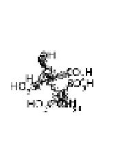 CC1=NN(CCCS(=O)(=O)O)\C(=C/C=C/C=C/C2=[N+](CCCCCC(=O)O)c3ccc(SOOO)cc3C2(C)CCCS(=O)(=O)O)C1(C)CCC(=O)O